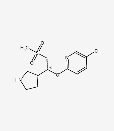 CS(=O)(=O)C[C@H](Oc1ccc(Cl)cn1)C1CCNC1